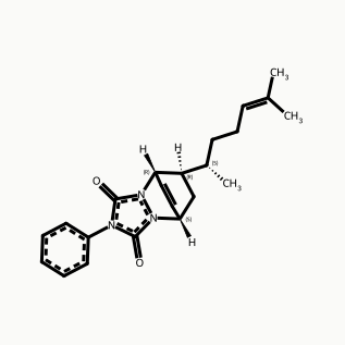 CC(C)=CCC[C@H](C)[C@H]1C[C@H]2C=C[C@@H]1n1c(=O)n(-c3ccccc3)c(=O)n12